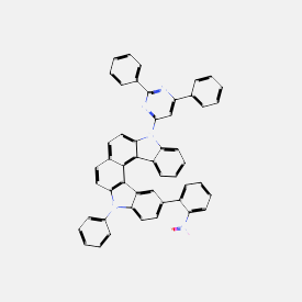 O=[N+]([O-])c1ccccc1-c1ccc2c(c1)c1c3c(ccc1n2-c1ccccc1)ccc1c3c2ccccc2n1-c1cc(-c2ccccc2)nc(-c2ccccc2)n1